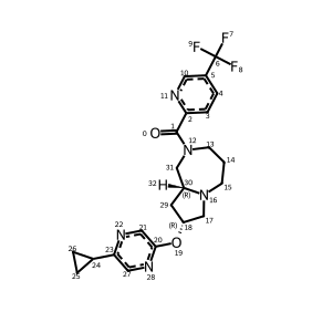 O=C(c1ccc(C(F)(F)F)cn1)N1CCCN2C[C@H](Oc3cnc(C4CC4)cn3)C[C@@H]2C1